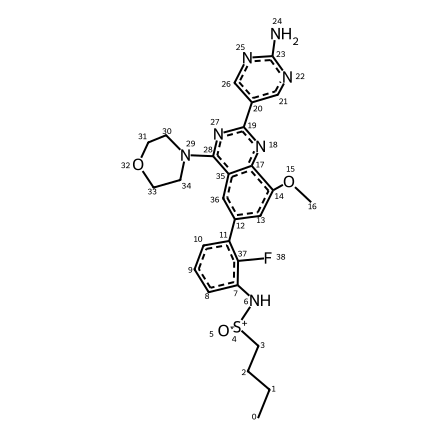 CCCC[S+]([O-])Nc1cccc(-c2cc(OC)c3nc(-c4cnc(N)nc4)nc(N4CCOCC4)c3c2)c1F